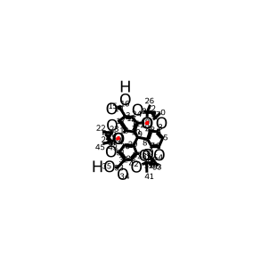 CC1(C)Oc2cc3c(c(C(c4c5c(c(C(=O)O)c6c4OC(C)(C)O6)OC(C)(C)O5)c4c5c(c(C(=O)O)c6c4OC(C)(C)O6)OC(C)(C)O5)c2O1)OC(C)(C)O3